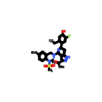 CNC(=O)c1n[nH]c2cc(-c3cc(F)c(O)cc3CC(F)(F)F)nc(NCc3cc(OC)ccc3N(C)S(C)(=O)=O)c12